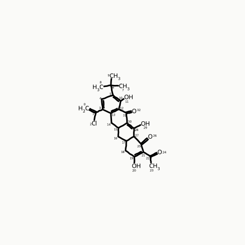 C=C(Cl)c1cc(C(C)(C)C)c(O)c2c1CC1CC3CC(O)=C(C(C)=O)C(=O)C3C(O)=C1C2=O